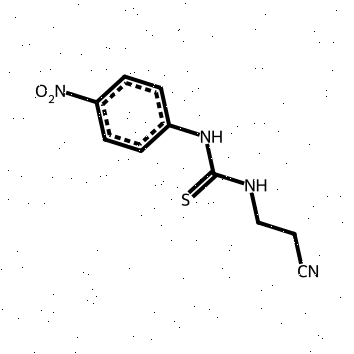 N#CCCNC(=S)Nc1ccc([N+](=O)[O-])cc1